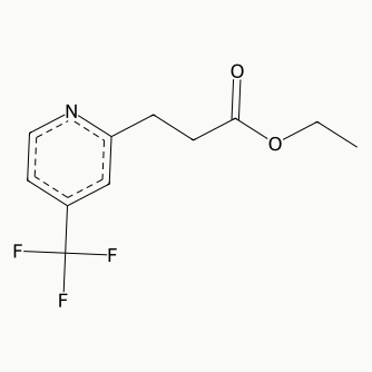 CCOC(=O)CCc1cc(C(F)(F)F)ccn1